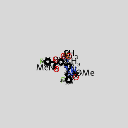 CNC(=O)c1c(-c2ccc(F)cc2)oc2cc(N(C)S(C)(=O)=O)c(-c3ccc4nc(C(=O)OC)n5c6cccc(F)c6cc5c4n3)cc12